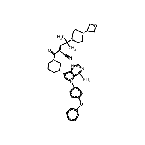 CC(C)(C=C(C#N)C(=O)N1CCC[C@@H](c2cn(-c3ccc(Oc4ccccc4)cc3)c3c(N)ncnc23)C1)N1CCN(C2COC2)CC1